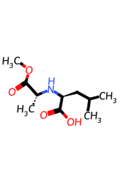 COC(=O)[C@@H](C)N[C@@H](CC(C)C)C(=O)O